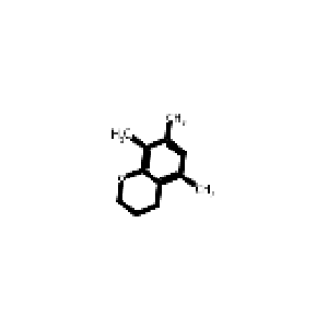 Cc1cc(C)c2c(c1C)OCCC2